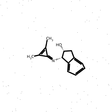 Cc1c(C)c1=N[C@H]1c2ccccc2C[C@H]1O